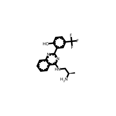 C[C@@H](N)CNc1nc(-c2cc(C(F)(F)F)ccc2O)nc2ccccc12